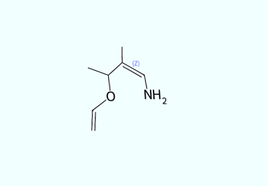 C=COC(C)/C(C)=C\N